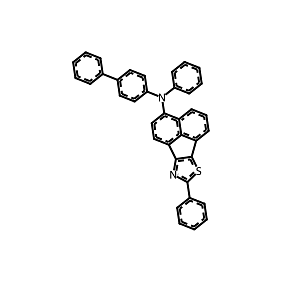 c1ccc(-c2ccc(N(c3ccccc3)c3ccc4c5c(cccc35)-c3sc(-c5ccccc5)nc3-4)cc2)cc1